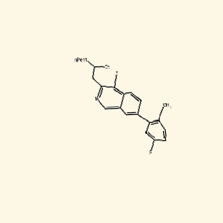 CCCCCC(CC)Cc1ncc2cc(-c3cc(F)ccc3C)ccc2c1F